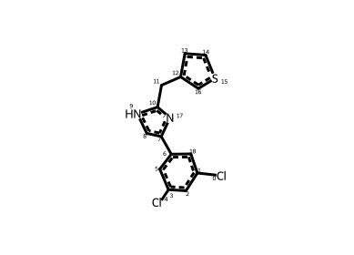 Clc1cc(Cl)cc(-c2c[nH]c(Cc3ccsc3)n2)c1